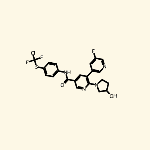 O=C(Nc1ccc(SC(F)(F)Cl)cc1)c1cnc(N2CCC(O)C2)c(-c2cncc(F)c2)c1